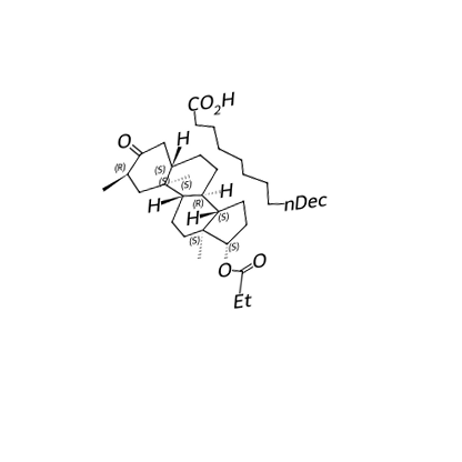 CCC(=O)O[C@H]1CC[C@H]2[C@@H]3CC[C@H]4CC(=O)[C@H](C)C[C@]4(C)[C@H]3CC[C@]12C.CCCCCCCCCCCCCCCCCC(=O)O